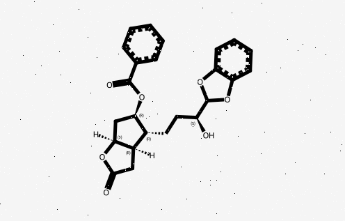 O=C1C[C@@H]2[C@@H](CC[C@H](O)C3Oc4ccccc4O3)[C@H](OC(=O)c3ccccc3)C[C@@H]2O1